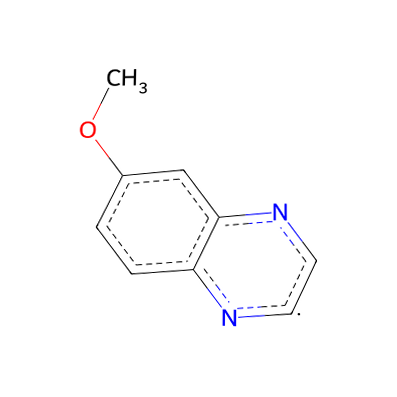 COc1ccc2n[c]cnc2c1